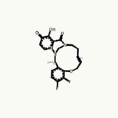 C[C@H]1c2ccc(F)c(F)c2OC/C=C/CCN2CN1n1ccc(=O)c(O)c1C2=O